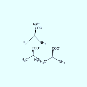 C[C@H](N)C(=O)[O-].C[C@H](N)C(=O)[O-].C[C@H](N)C(=O)[O-].[Au+3]